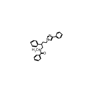 CN(CC(CCn1cnc(-c2ccccc2)c1)c1ccccc1)C(=O)c1ccccc1